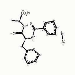 CC(=O)Br.C[C@H](NC(=O)[C@H](Cc1ccccc1)NC(=O)c1ccccc1)C(=O)O